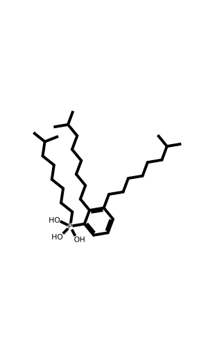 CC(C)CCCCCCc1cccc(P(O)(O)(O)CCCCCCC(C)C)c1CCCCCCC(C)C